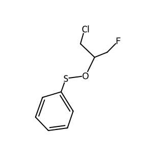 FCC(CCl)OSc1ccccc1